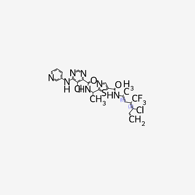 C=C/C(Cl)=C(\C=C(/C)NC(=O)c1cnc(C(C)NC(=O)c2ncnc(Nc3cccnc3)c2Cl)s1)C(F)(F)F